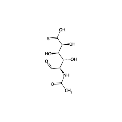 CC(=O)N[C@@H](C=O)[C@@H](O)[C@@H](O)[C@H](O)C(O)=S